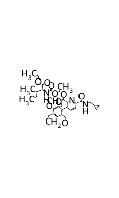 C=Cc1cc(C=O)c(-c2ccc(C(=O)NCC3CC3)nc2C(=O)OC(C)OC(=O)NC(C(=O)OCC)C(C)CC)cc1OC